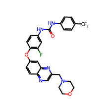 O=C(Nc1ccc(C(F)(F)F)cc1)Nc1ccc(Oc2ccc3ncc(CN4CCOCC4)nc3c2)c(F)c1